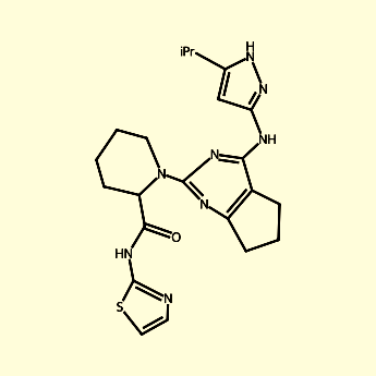 CC(C)c1cc(Nc2nc(N3CCCCC3C(=O)Nc3nccs3)nc3c2CCC3)n[nH]1